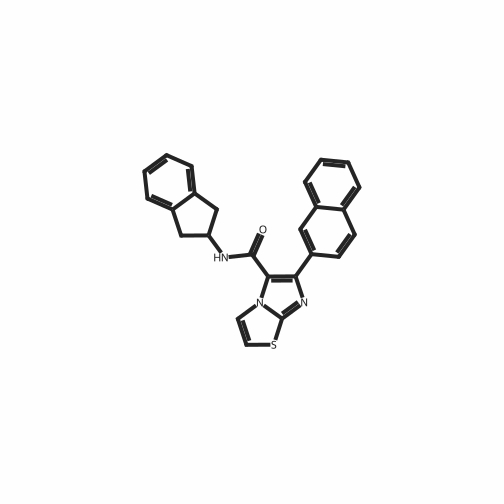 O=C(NC1Cc2ccccc2C1)c1c(-c2ccc3ccccc3c2)nc2sccn12